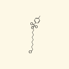 Cc1ccc(S(=O)(=O)OCCCCCCCCCCl)cc1